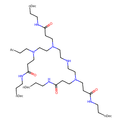 CCCCCCCCCCCCNC(=O)CCN(CCNCCN(CCC(=O)NCCCCCCCCCCCC)CCN(CCC(C)=O)CCC(=O)NCCCCCCCCCCCC)CCC(=O)NCCCCCCCCCCCC